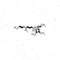 CCCS[SiH2]CCC[SiH2]S[Si](OCC)(OCC)OCC